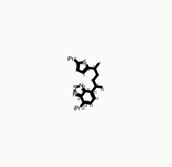 CC(C)c1ccc(C(C)CCC(C)c2ccc(C(C)C)c3nsnc23)s1